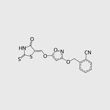 N#Cc1ccccc1COc1cc(OC=C2SC(=S)NC2=O)on1